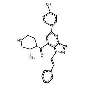 CCCC[C@@H]1CNCCN1C(=O)c1cc(-c2ccc(O)cc2)nc2[nH]nc(/C=C/c3ccccc3)c12